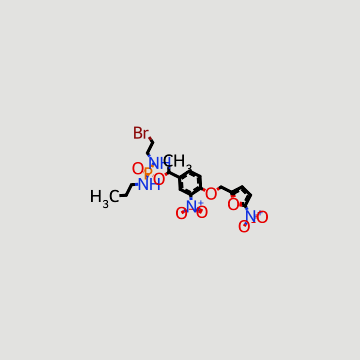 CCCNP(=O)(NCCBr)OC(C)c1ccc(OCc2ccc([N+](=O)[O-])o2)c([N+](=O)[O-])c1